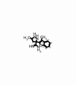 Cc1c(C2(C(=N)N)CC(C)NN2)oc2ccccc12